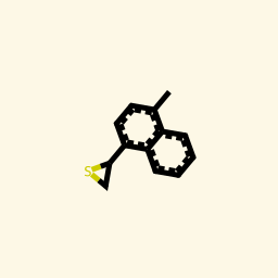 Cc1ccc(C2CS2)c2ccccc12